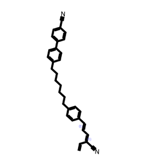 C=C/C(C#N)=C\C=C\c1ccc(CCCCCCCc2ccc(-c3ccc(C#N)cc3)cc2)cc1